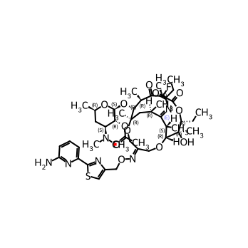 CCC(=O)/N=C1\[C@H](C)C[C@@]2(C)OCC(=NOCc3csc(-c4cccc(N)n4)n3)CO[C@H]([C@H]1C)[C@](C)(O)[C@@H](CC)OC(=O)[C@@](C)(F)C(=O)[C@H](C)[C@H]2O[C@@H]1O[C@H](C)C[C@H](N(C)C)[C@H]1OC(C)=O